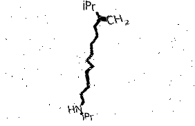 C=C(CCCCCCCCCCNC(C)C)C(C)C